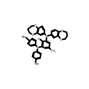 Cc1cc(N(c2ccc(C(C)(C)C)cc2)c2ccc(C(C)(C)C)cc2)c(Cl)c(N(c2ccc3c(c2)OCCCO3)c2ccc3c(c2)OCCCO3)c1